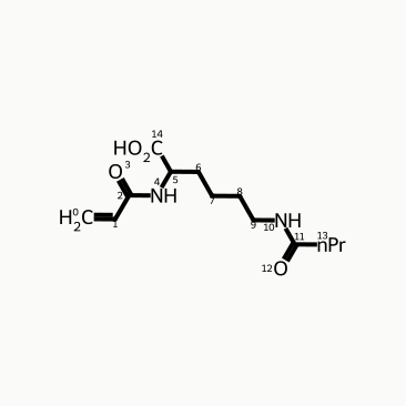 C=CC(=O)NC(CCCCNC(=O)CCC)C(=O)O